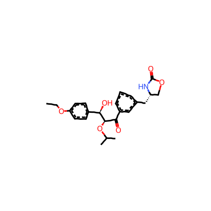 CCOc1ccc([C@@H](O)[C@H](OC(C)C)C(=O)c2cccc(C[C@H]3COC(=O)N3)c2)cc1